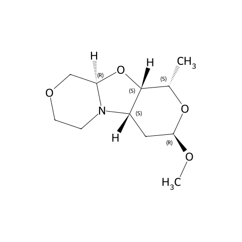 CO[C@H]1C[C@H]2[C@H](O[C@@H]3COCCN32)[C@H](C)O1